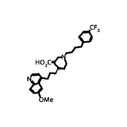 COc1ccc2nccc(CCC[C@@H]3CCN(CCCCc4ccc(C(F)(F)F)cc4)C[C@@H]3C(=O)O)c2c1